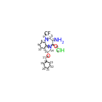 Cl.NC1CN(CC(F)(F)F)c2ccccc2N(CCOCc2ccccc2)C1=O